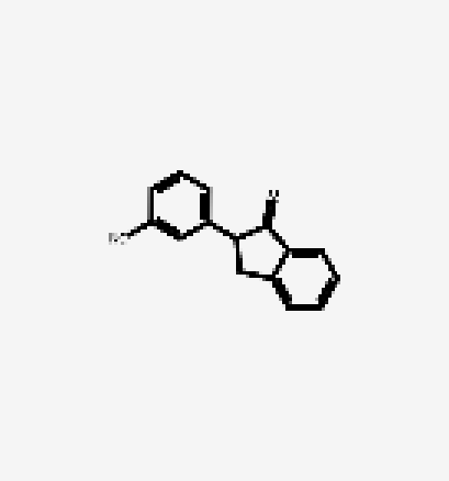 N#Cc1cccc(C2Cc3ccccc3C2=O)c1